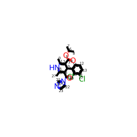 CC1=C(C(=O)OC(C)C)C(c2cccc(Cl)c2Cl)C(C(=O)n2ccnc2)=C(C)N1